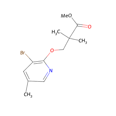 COC(=O)C(C)(C)COc1ncc(C)cc1Br